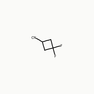 [C-]#[N+]C1CC(F)(F)C1